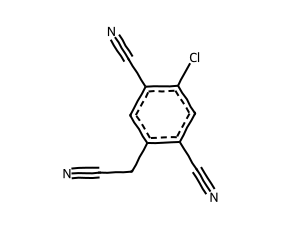 N#CCc1cc(C#N)c(Cl)cc1C#N